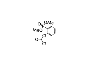 COP(=O)(OC)c1ccccc1.O=C(Cl)Cl